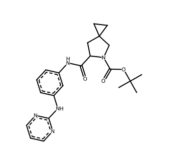 CC(C)(C)OC(=O)N1CC2(CC2)CC1C(=O)Nc1cccc(Nc2ncccn2)c1